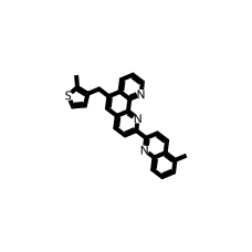 Cc1sccc1Cc1cc2ccc(-c3ccc4c(C)cccc4n3)nc2c2ncccc12